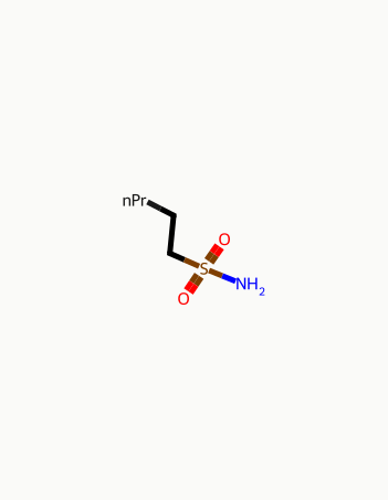 [CH2]CCCCS(N)(=O)=O